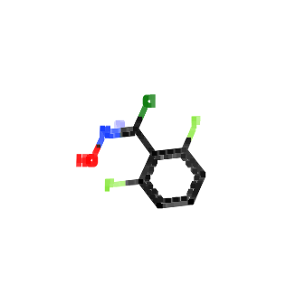 O/N=C(/Cl)c1c(F)cccc1F